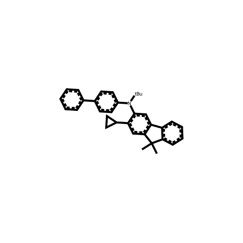 CC1(C)c2ccccc2-c2cc(N(c3ccc(-c4ccccc4)cc3)C(C)(C)C)c(C3CC3)cc21